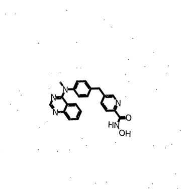 CN(c1ccc(Cc2ccc(C(=O)NO)nc2)cc1)c1ncnc2ccccc12